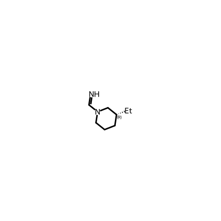 [CH2]C[C@@H]1CCCN(C=N)C1